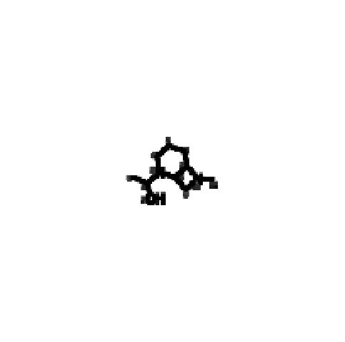 CC(O)N1CCCC2C1CN2C